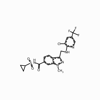 Cn1nc(CNc2ncc(C(F)(F)F)cc2Cl)c2ccc(C(=O)NS(=O)(=O)C3CC3)cc21